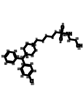 O=S(=O)(CCCCCN1CCN(C(c2ccccc2)c2ccc(Cl)cc2)CC1)NCCO